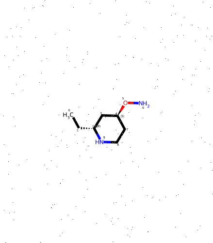 CC[C@@H]1C[C@@H](ON)CCN1